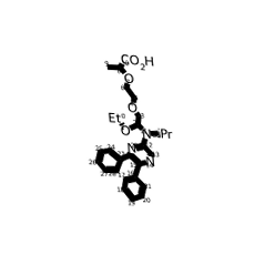 CCOC(COCCOC(C)C(=O)O)N(c1cnc(-c2ccccc2)c(-c2ccccc2)n1)C(C)C